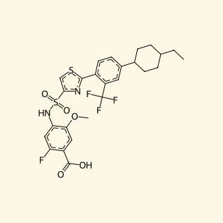 CCC1CCC(c2ccc(-c3nc(S(=O)(=O)Nc4cc(F)c(C(=O)O)cc4OC)cs3)c(C(F)(F)F)c2)CC1